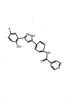 O=C(Nc1ccc(-c2cc(-c3cc(F)ccc3O)n[nH]2)cc1)c1ccncc1